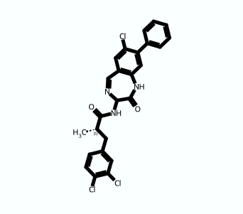 C[C@@H](Cc1ccc(Cl)c(Cl)c1)C(=O)NC1N=Cc2cc(Cl)c(-c3ccccc3)cc2NC1=O